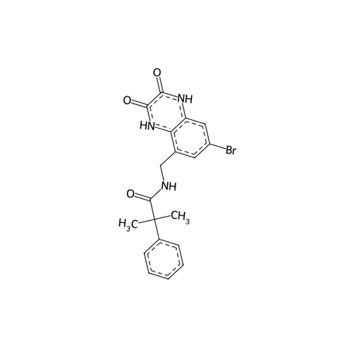 CC(C)(C(=O)NCc1cc(Br)cc2[nH]c(=O)c(=O)[nH]c12)c1ccccc1